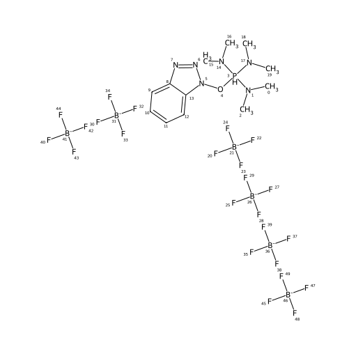 CN(C)[PH](On1nnc2ccccc21)(N(C)C)N(C)C.F[B-](F)(F)F.F[B-](F)(F)F.F[B-](F)(F)F.F[B-](F)(F)F.F[B-](F)(F)F.F[B-](F)(F)F